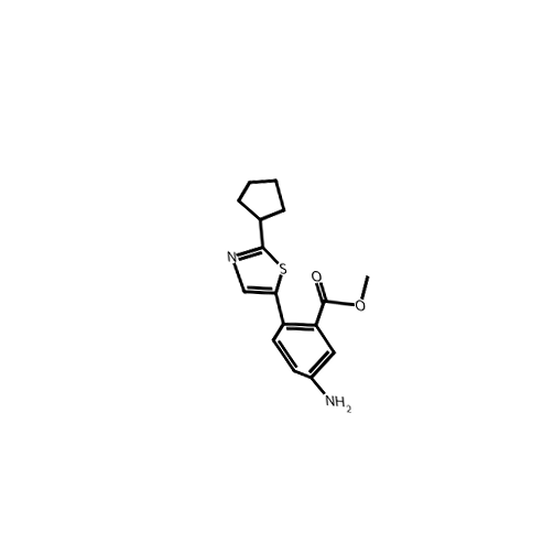 COC(=O)c1cc(N)ccc1-c1cnc(C2CCCC2)s1